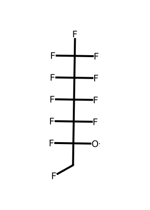 [O]C(F)(CF)C(F)(F)C(F)(F)C(F)(F)C(F)(F)F